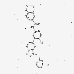 O=C(Nc1cc(-c2ccc3ncn(Cc4cccc(F)c4)c3c2)c(Cl)cn1)c1cnc2c(c1)CCCO2